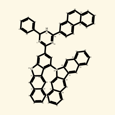 c1ccc(C2N=C(c3cc(-n4c5cc6ccccc6cc5c5cc6ccccc6cc54)c4c(c3)oc3cc5ccccc5cc34)N=C(c3ccc4c(ccc5ccccc54)c3)N2)cc1